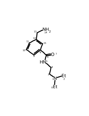 CCN(CC)CCNC(=O)c1cccc(CN)c1